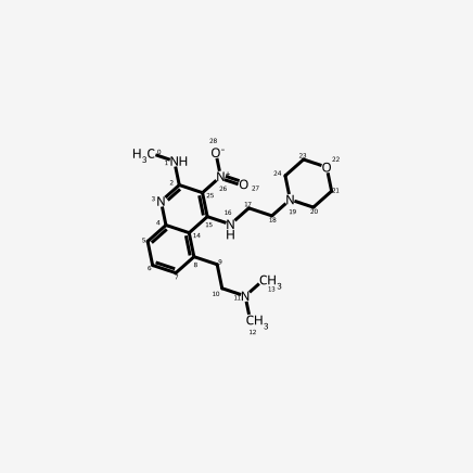 CNc1nc2cccc(CCN(C)C)c2c(NCCN2CCOCC2)c1[N+](=O)[O-]